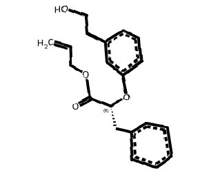 C=CCOC(=O)[C@@H](Cc1ccccc1)Oc1cccc(CCO)c1